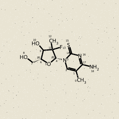 Cc1cn([C@@H]2O[C@H](CO)C(O)C2(C)F)c(=S)nc1N